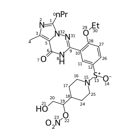 CCCc1nc(C)c2c(=O)[nH]c(-c3cc([S+]([O-])N4CCC(C(CO)O[N+](=O)[O-])CC4)ccc3OCC)nn12